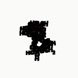 C=C1Oc2c(O)c(O)cc3c2C(C1O)C(CC(=O)O)C(=O)OC1C2COC(=O)c4cc(O)c(O)c(O)c4-c4c(cc(O)c(O)c4O)C(=O)COC1C(OC3=O)C(OC(=O)c1cc(O)c(O)c(O)c1)O2